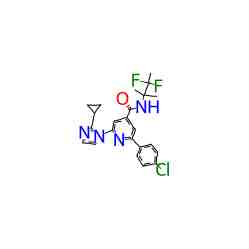 CC(F)(F)C(C)(C)NC(=O)c1cc(-c2ccc(Cl)cc2)nc(-n2ccnc2C2CC2)c1